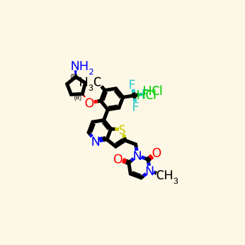 Cc1cc(C(F)(F)F)cc(-c2ccnc3cc(Cn4c(=O)ccn(C)c4=O)sc23)c1O[C@@H]1CC[C@@H](N)C1.Cl.Cl